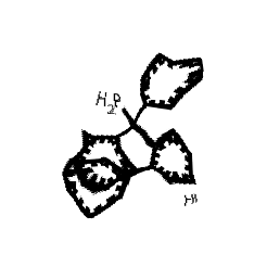 I.PC(c1ccccc1)(c1ccccc1)c1ccccc1-c1ccccc1